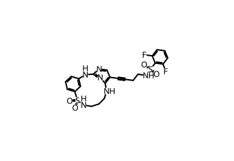 O=S1(=O)NCCCNc2nc(ncc2C#CCCNS(=O)(=O)c2c(F)cccc2F)Nc2cccc1c2